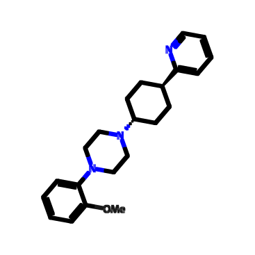 COc1ccccc1N1CCN([C@H]2CC[C@H](c3ccccn3)CC2)CC1